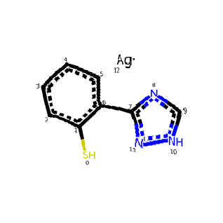 Sc1ccccc1-c1nc[nH]n1.[Ag]